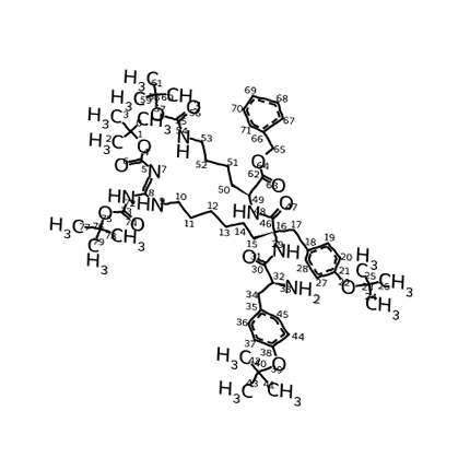 CC(C)(C)OC(=O)N=C(NCCCCCC[C@@](Cc1ccc(OC(C)(C)C)cc1)(NC(=O)[C@@H](N)Cc1ccc(OC(C)(C)C)cc1)C(=O)N[C@@H](CCCCNC(=O)OC(C)(C)C)C(=O)OCc1ccccc1)NC(=O)OC(C)(C)C